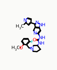 COc1cccc(F)c1CN1CCCC(NC(=O)Nc2cc3[nH]nc(-c4ccnc(C)c4)c3cn2)C1